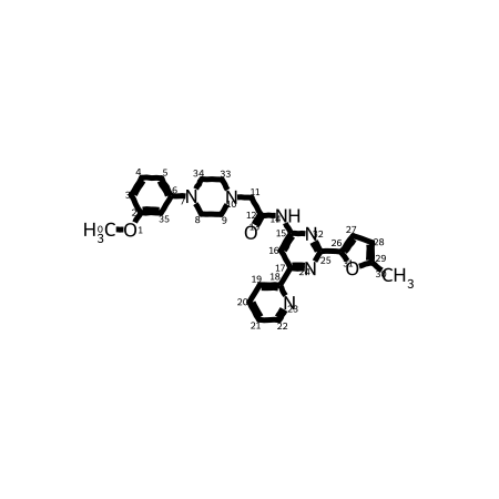 COc1cccc(N2CCN(CC(=O)Nc3cc(-c4ccccn4)nc(-c4ccc(C)o4)n3)CC2)c1